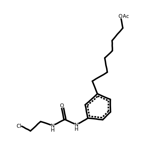 CC(=O)OCCCCCCc1cccc(NC(=O)NCCCl)c1